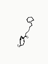 O=C(CCCCN1CCCCC1)c1ccc(Cl)cc1